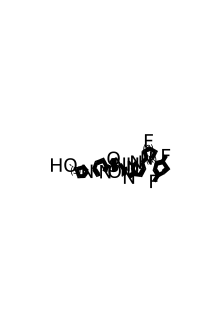 O=S(=O)(Nc1cnc2ccc(N3C[C@@H](F)C[C@@H]3c3cc(F)ccc3F)nn12)c1ccc(N2CC[C@H](O)C2)cn1